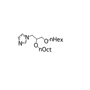 CCCCCCCCOC(COCCCCCC)Cn1ccnc1